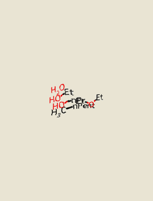 CCCCCC.CCCO.CCO.CCOCC.O